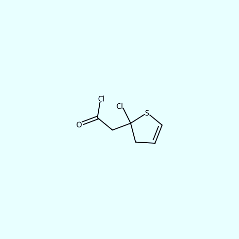 O=C(Cl)CC1(Cl)CC=CS1